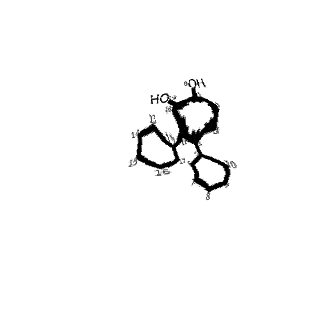 Oc1ccc(C2CCCCC2)c(C2CCCCC2)c1O